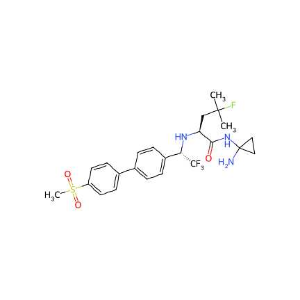 CC(C)(F)C[C@H](N[C@@H](c1ccc(-c2ccc(S(C)(=O)=O)cc2)cc1)C(F)(F)F)C(=O)NC1(N)CC1